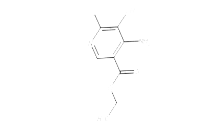 CCOC(=O)c1cnc(Cl)c(C)c1N